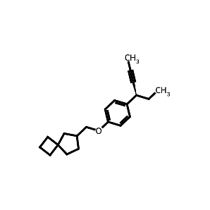 CC#C[C@@H](CC)c1ccc(OCC2CCC3(CCC3)C2)cc1